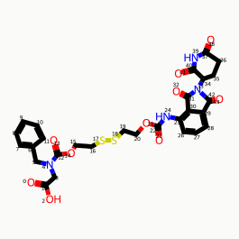 O=C(O)CN(Cc1ccccc1)C(=O)OCCSSCCOC(=O)Nc1cccc2c1C(=O)N(C1CCC(=O)NC1=O)C2=O